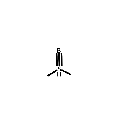 B#[SH](I)I